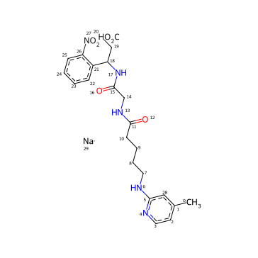 Cc1ccnc(NCCCCC(=O)NCC(=O)NC(CC(=O)O)c2ccccc2[N+](=O)[O-])c1.[Na]